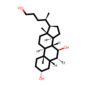 CC[C@H]1[C@H](O)[C@@H]2[C@H](CC[C@]3(C)[C@@H]([C@H](C)CCCO)CC[C@@H]23)[C@@]2(C)CC[C@@H](O)C[C@@H]12